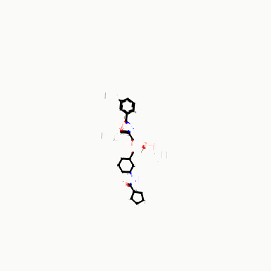 Cc1cccc(-c2nc(COCC3CCCC(NC(=O)C4CCCC4)C3)c(C)o2)c1.O=C(O)O